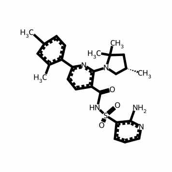 Cc1ccc(-c2ccc(C(=O)NS(=O)(=O)c3cccnc3N)c(N3C[C@@H](C)CC3(C)C)n2)c(C)c1